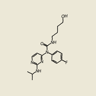 CC(C)Nc1nccc(N(C(=O)NCCCCO)c2ccc(F)cc2)n1